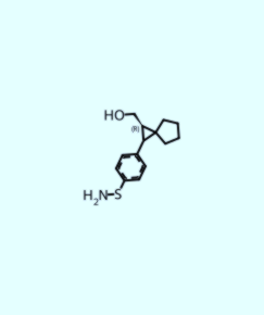 NSc1ccc(C2[C@@H](CO)C23CCCC3)cc1